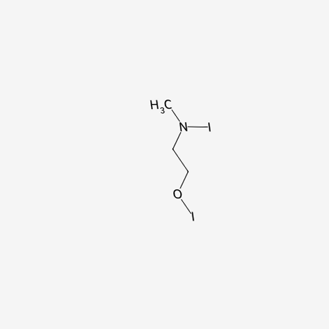 CN(I)CCOI